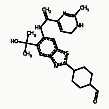 C=C(Nc1cc2sc(C3CCC(C=O)CC3)nc2cc1C(C)(C)O)C1=CCNC(C)=N1